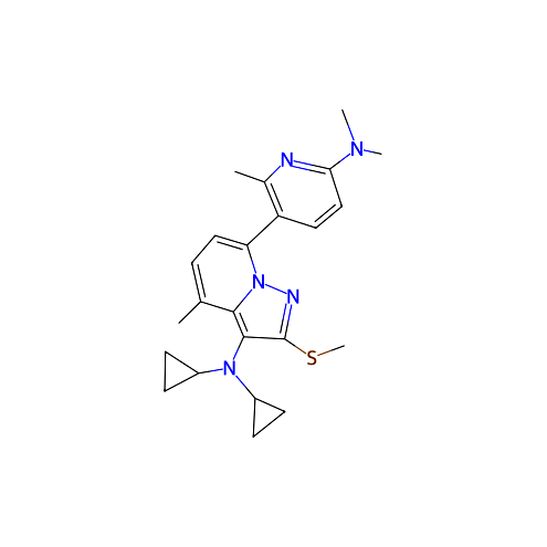 CSc1nn2c(-c3ccc(N(C)C)nc3C)ccc(C)c2c1N(C1CC1)C1CC1